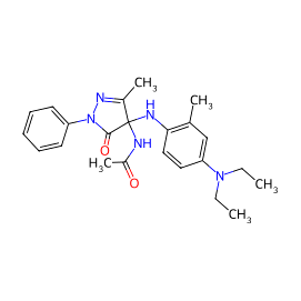 CCN(CC)c1ccc(NC2(NC(C)=O)C(=O)N(c3ccccc3)N=C2C)c(C)c1